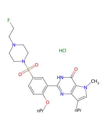 CCCOc1ccc(S(=O)(=O)N2CCN(CCF)CC2)cc1-c1nc2c(CCC)cn(C)c2c(=O)[nH]1.Cl